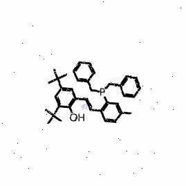 Cc1ccc(/C=C/c2cc(C(C)(C)C)cc(C(C)(C)C)c2O)c(P(Cc2ccccc2)Cc2ccccc2)c1